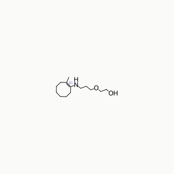 C/C1=C(\NCCCOCCO)CCCCCC1